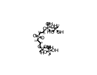 C[PH](O)(O)O[PH](C)(O)OCCS(=O)(=O)CCO[PH](C)(O)O[PH](C)(O)O